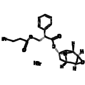 Br.CC(C)CCC(=O)OC[C@@H](C(=O)O[C@@H]1C[C@@H]2[C@H]3O[C@H]3[C@H](C1)N2C)c1ccccc1